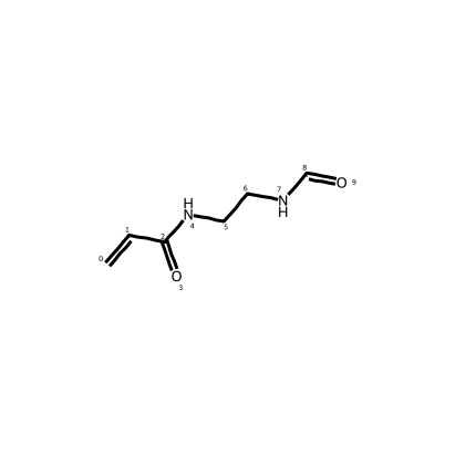 C=CC(=O)NCCN[C]=O